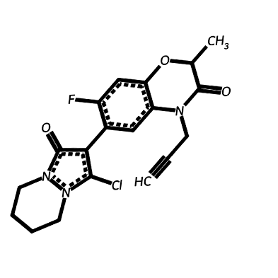 C#CCN1C(=O)C(C)Oc2cc(F)c(-c3c(Cl)n4n(c3=O)CCCC4)cc21